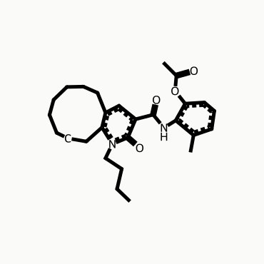 CCCCn1c2c(cc(C(=O)Nc3c(C)cccc3OC(C)=O)c1=O)CCCCCCCC2